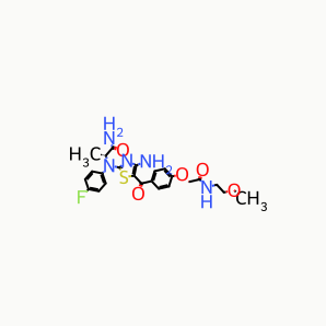 COCCNC(=O)COc1ccc(C(=O)c2sc(N(c3ccc(F)cc3)[C@H](C)C(N)=O)nc2N)cc1